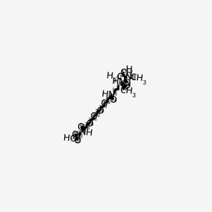 CCN[C@H](C(=O)N[C@@H](CCCCNC(=O)CCOCCOCCOCCOCCC(=O)NCCS(=O)(=O)O)C(C)=O)C(C)C